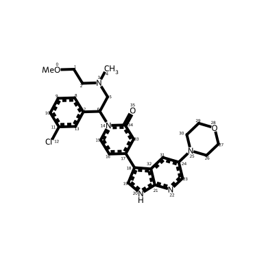 COCCN(C)CC(c1cccc(Cl)c1)n1ccc(-c2c[nH]c3ncc(N4CCOCC4)cc23)cc1=O